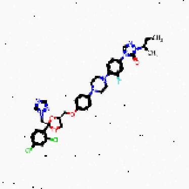 CCC(C)n1ncn(-c2ccc(N3CCN(c4ccc(OC[C@H]5CO[C@](Cn6cncn6)(c6ccc(Cl)cc6Cl)O5)cc4)CC3)c(F)c2)c1=O